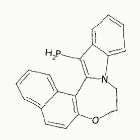 Pc1c2n(c3ccccc13)CCOc1ccc3ccccc3c1-2